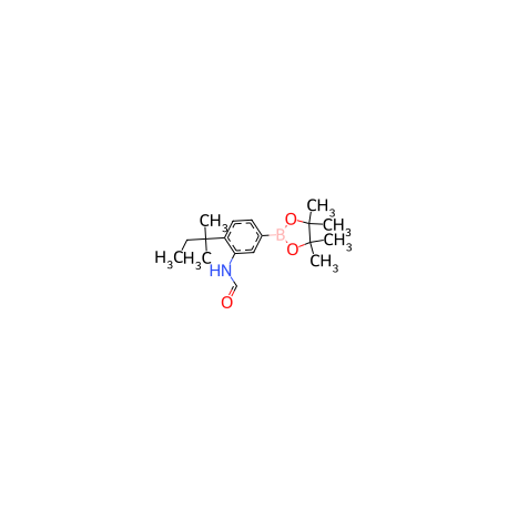 CCC(C)(C)c1ccc(B2OC(C)(C)C(C)(C)O2)cc1NC=O